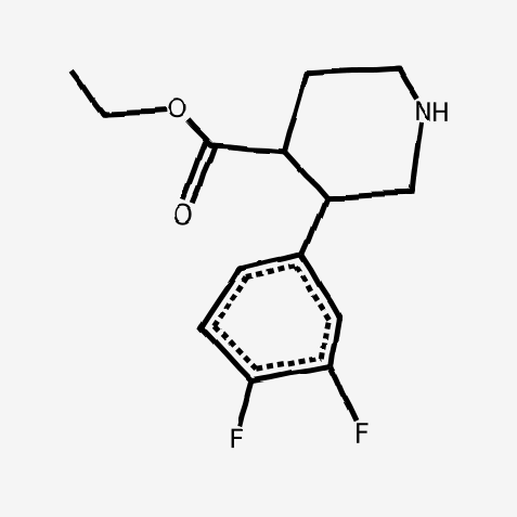 CCOC(=O)C1CCNCC1c1ccc(F)c(F)c1